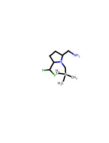 C[Si](C)(C)CN1C(CN)CCC1C(F)F